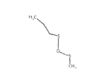 CCCSOSC